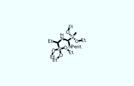 CCCCCC(NC(CC)[Si](OCC)(OCC)OCC)[Si](C)(OCC)OCC